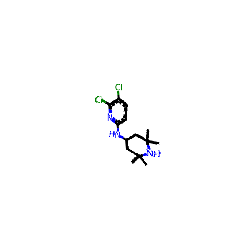 CC1(C)CC(Nc2ccc(Cl)c(Cl)n2)CC(C)(C)N1